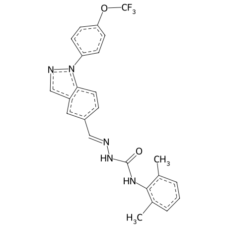 Cc1cccc(C)c1NC(=O)N/N=C/c1ccc2c(cnn2-c2ccc(OC(F)(F)F)cc2)c1